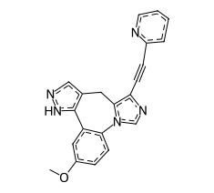 COc1ccc2c(c1)-c1[nH]ncc1Cc1c(C#Cc3ccccn3)ncn1-2